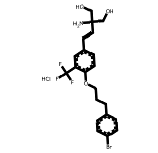 Cl.NC(C=Cc1ccc(OCCCc2ccc(Br)cc2)c(C(F)(F)F)c1)(CO)CO